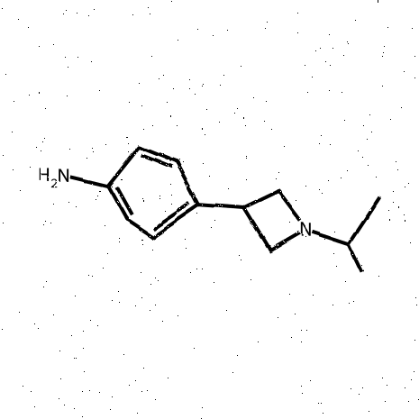 CC(C)N1CC(c2ccc(N)cc2)C1